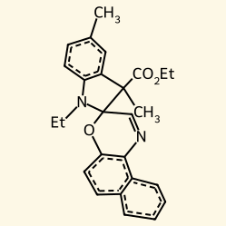 CCOC(=O)C1(C)c2cc(C)ccc2N(CC)C12C=Nc1c(ccc3ccccc13)O2